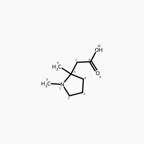 CN1CCCC1(C)CC(=O)O